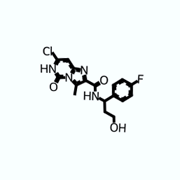 Cc1c(C(=O)NC(CCO)c2ccc(F)cc2)nc2cc(Cl)[nH]c(=O)n12